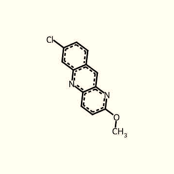 COc1ccc2nc3cc(Cl)ccc3cc2n1